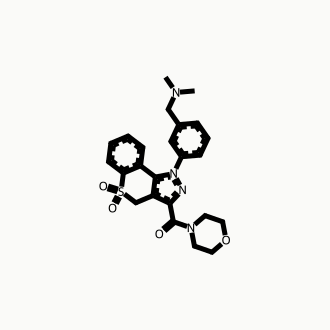 CN(C)Cc1cccc(-n2nc(C(=O)N3CCOCC3)c3c2-c2ccccc2S(=O)(=O)C3)c1